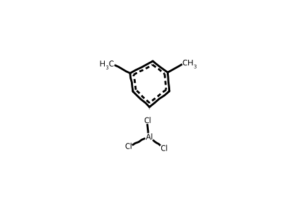 Cc1c[c]cc(C)c1.[Cl][Al]([Cl])[Cl]